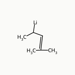 [Li][CH](C)C=C(C)C